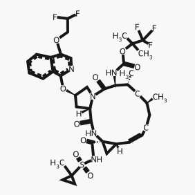 C[C@H]1CC/C=C\[C@@H]2C[C@@]2(C(=O)NS(=O)(=O)C2(C)CC2)NC(=O)[C@@H]2C[C@@H](Oc3ncc(OCC(F)F)c4ccccc34)CN2C(=O)[C@@H](NC(=O)OC(C)(C)C(F)(F)F)[C@H](C)C1